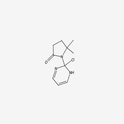 CC1(C)CCC(=O)N1C1(Cl)N=CC=CN1